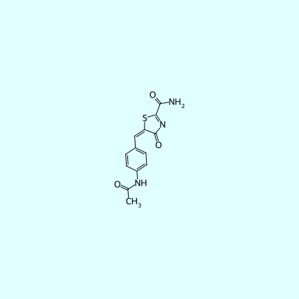 CC(=O)Nc1ccc(C=C2SC(C(N)=O)=NC2=O)cc1